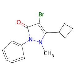 Cn1c(C2CCC2)c(Br)c(=O)n1-c1ccccc1